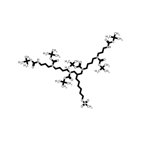 CC(C)(C)OC(=O)NCCCN(CCCCN(CC(CCCCCCOS(C)(=O)=O)CN(CCCCN(CCCNC(=O)OC(C)(C)C)C(=O)OC(C)(C)C)C(=O)OC(C)(C)C)C(=O)OC(C)(C)C)C(=O)OC(C)(C)C